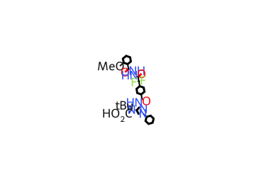 COc1ccccc1C(=O)NNC(=O)C(F)(F)c1ccc(C(=O)Nc2nn(-c3ccccc3)cc2N(C(=O)O)C(C)(C)C)cc1